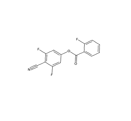 N#Cc1c(F)cc(OC(=O)c2ccccc2F)cc1F